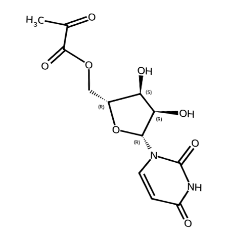 CC(=O)C(=O)OC[C@H]1O[C@@H](n2ccc(=O)[nH]c2=O)[C@H](O)[C@@H]1O